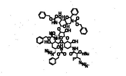 CCCCO[C@H](C(=O)N[C@@H]1C[C@H](NC(=O)OCc2ccccc2)[C@@H](O[C@H]2O[C@H](CN=[N+]=[N-])C[C@@H](O)[C@H]2NC(=O)OCc2ccccc2)[C@H](O[C@@H]2O[C@H](CO)[C@@H](O[C@H]3O[C@H]4CN(C(=O)OCc5ccccc5)C(c5ccccc5)O[C@H]4[C@H](O)[C@H]3NC(=O)OCc3ccccc3)[C@H]2O)[C@H]1O)[C@H](F)CN=[N+]=[N-]